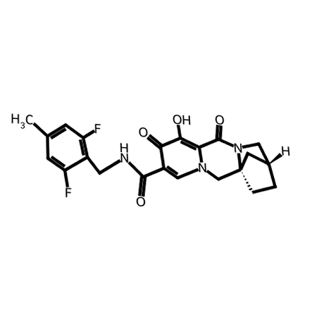 Cc1cc(F)c(CNC(=O)c2cn3c(c(O)c2=O)C(=O)N2C[C@@H]4CC[C@]2(C4)C3)c(F)c1